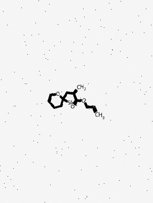 C=CCOC(=O)C(=C)CC1([SiH3])CCCCO1